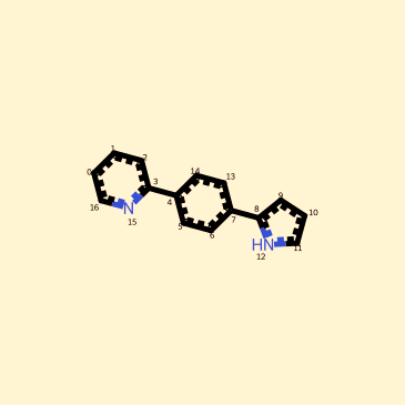 c1ccc(-c2ccc(-c3ccc[nH]3)cc2)nc1